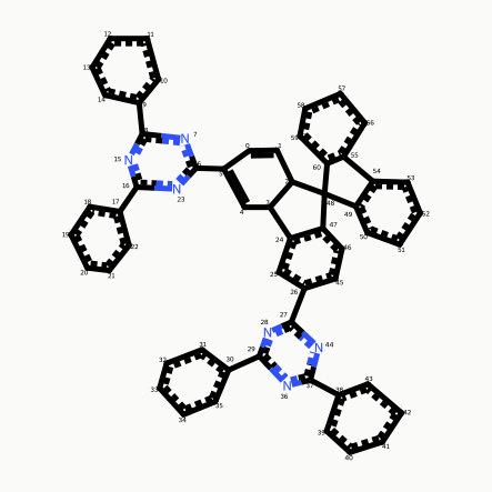 C1=CC2C(C=C1c1nc(-c3ccccc3)nc(-c3ccccc3)n1)c1cc(-c3nc(-c4ccccc4)nc(-c4ccccc4)n3)ccc1C21c2ccccc2-c2ccccc21